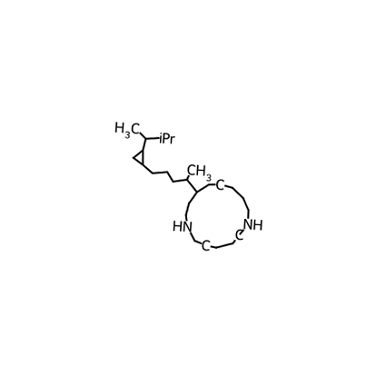 CC(C)C(C)C1CC1CCCC(C)C1CCCCCNCCCCCNCC1